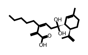 C=C(C(=O)O)/C(=C\CC(O)(O)[C@@H]1C=C(C)CC[C@H]1C(=C)C)CCCCC